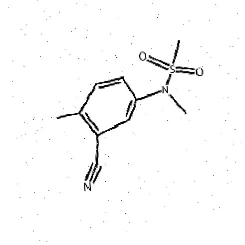 Cc1ccc(N(C)S(C)(=O)=O)cc1C#N